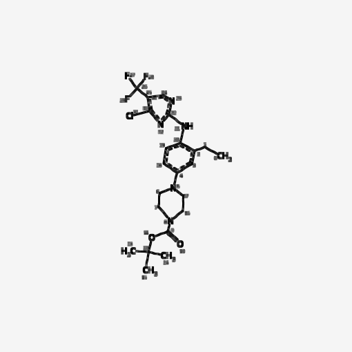 CCc1cc(N2CCN(C(=O)OC(C)(C)C)CC2)ccc1Nc1ncc(C(F)(F)F)c(Cl)n1